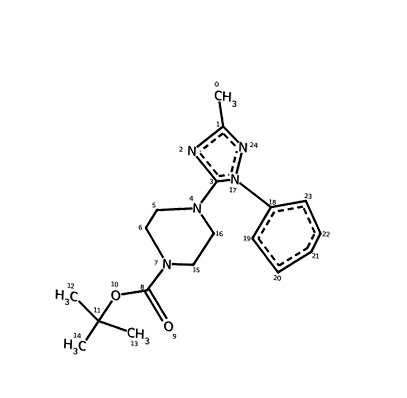 Cc1nc(N2CCN(C(=O)OC(C)(C)C)CC2)n(-c2ccccc2)n1